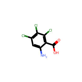 Nc1cc(Cl)c(Cl)c(Cl)c1C(=O)O